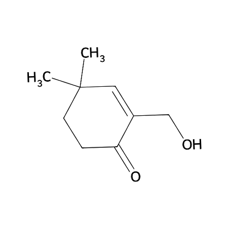 CC1(C)C=C(CO)C(=O)CC1